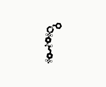 CN(C(=O)C=Cc1ccc(S(C)(=O)=O)cc1)c1ccc(S(=O)(=O)N2CCCN(CC3CCCCC3)CC2)cc1